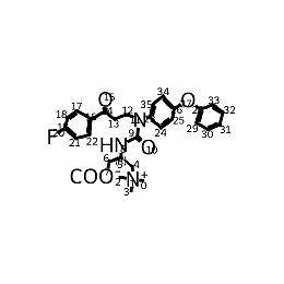 C[N+](C)(C)C[C@@H](CC(=O)[O-])NC(=O)N(CCC(=O)c1ccc(F)cc1)c1ccc(Oc2ccccc2)cc1